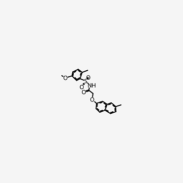 COc1ccc(C)c(S(=O)(=O)NC(=O)COc2ccc3ccc(C)cc3c2)c1